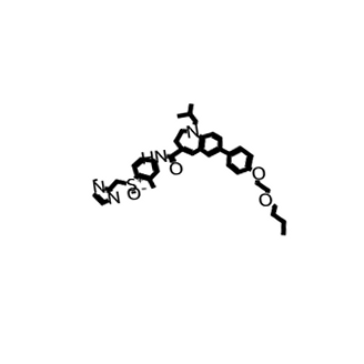 CCCCOCCOc1ccc(-c2ccc3c(c2)C=C(C(=O)Nc2ccc([S+]([O-])Cc4nccn4C)c(C)c2)CCN3CC(C)C)cc1